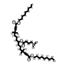 CCCCCCCCCOC(=O)C#CC(C)(C)CCCC(CCCC(C)(C)C#CC(=O)OCCCCCCCCC)OC(=O)CCCN(C)C